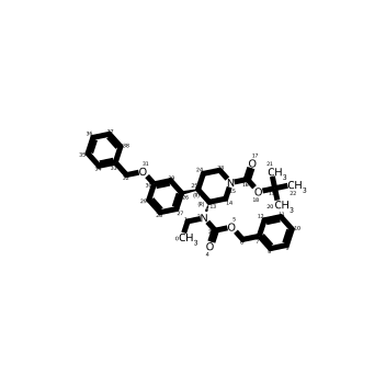 CCN(C(=O)OCc1ccccc1)[C@H]1CN(C(=O)OC(C)(C)C)CC[C@@H]1c1cccc(OCc2ccccc2)c1